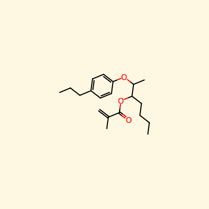 C=C(C)C(=O)OC(CCCC)C(C)Oc1ccc(CCC)cc1